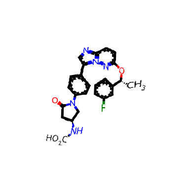 C[C@@H](Oc1ccc2ncc(-c3ccc(N4C[C@@H](NC(=O)O)CC4=O)cc3)n2n1)c1cccc(F)c1